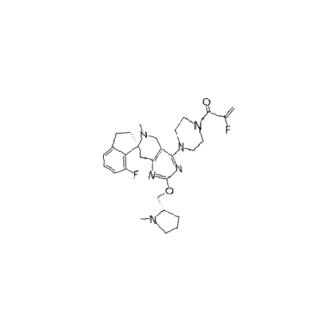 C=C(F)C(=O)N1CCN(c2nc(OC[C@@H]3CCCN3C)nc3c2CN(C)[C@@]2(CCc4cccc(F)c42)C3)CC1